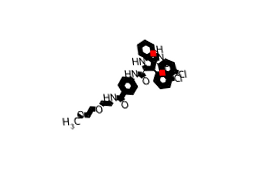 COCCOCCNC(=O)c1ccc(NC(=O)[C@@H]2NC3(CCCCC3)[C@@]3(C(=O)Nc4cc(Cl)ccc43)[C@H]2c2cccc(Cl)c2F)cc1